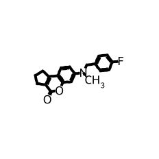 CN(Cc1ccc(F)cc1)c1ccc2c3c(c(=O)oc2c1)CCC3